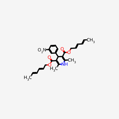 C/C=C/C=C/COC(=O)C1=C(C)NC(C)=C(C(=O)OC/C=C/C=C/C)C1c1cccc([N+](=O)[O-])c1